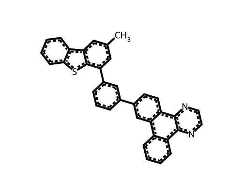 Cc1cc(-c2cccc(-c3ccc4c(c3)c3ccccc3c3nccnc43)c2)c2sc3ccccc3c2c1